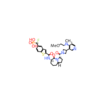 COCCN(C)c1ccncc1C1CN(C(=O)[C@@H]2CC[C@@H]3CCC[C@H](NC(=O)c4cc5cc([C@@H](F)P(=O)(O)O)ccc5s4)C(=O)N32)C1